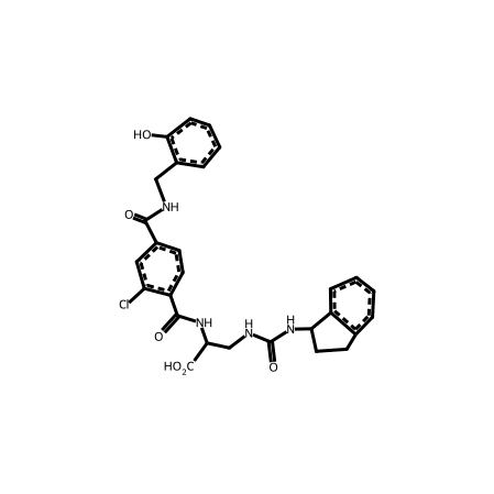 O=C(NCC(NC(=O)c1ccc(C(=O)NCc2ccccc2O)cc1Cl)C(=O)O)NC1CCc2ccccc21